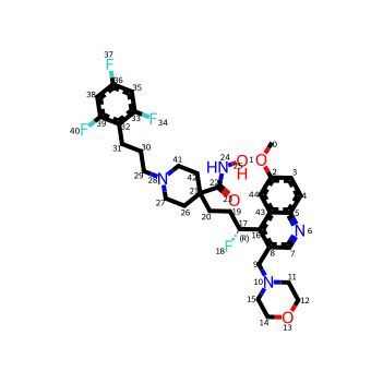 COc1ccc2ncc(CN3CCOCC3)c([C@H](F)CCC3(C(=O)NO)CCN(CCCc4c(F)cc(F)cc4F)CC3)c2c1